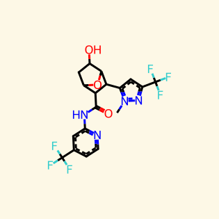 Cn1nc(C(F)(F)F)cc1C1C2OC(CC2O)C1C(=O)Nc1cc(C(F)(F)F)ccn1